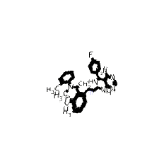 C=C(c1c(C)cccc1/C=C/CNc1ncnc(N)c1C(=N)c1ccc(F)cc1)N(C)c1ccccc1C